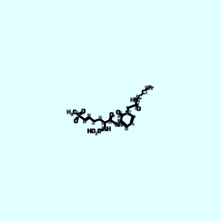 CC(C)CCNC(=O)Cn1cccc(NC(=O)C(CCC=CS(C)(=O)=O)NC(=O)O)c1=O